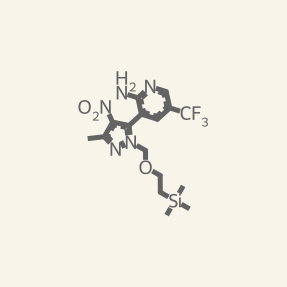 Cc1nn(COCC[Si](C)(C)C)c(-c2cc(C(F)(F)F)cnc2N)c1[N+](=O)[O-]